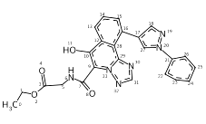 CCOC(=O)CNC(=O)c1c(O)c2cccc(-c3cnn(-c4ccccc4)c3)c2c2ncnn12